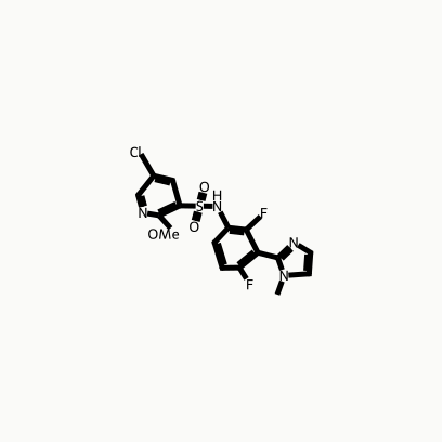 COc1ncc(Cl)cc1S(=O)(=O)Nc1ccc(F)c(-c2nccn2C)c1F